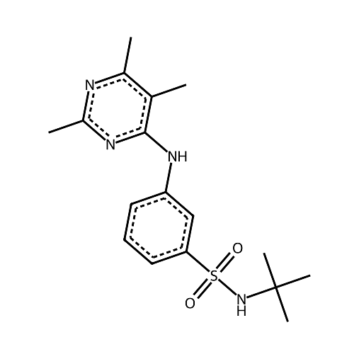 Cc1nc(C)c(C)c(Nc2cccc(S(=O)(=O)NC(C)(C)C)c2)n1